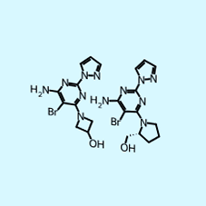 Nc1nc(-n2cccn2)nc(N2CC(O)C2)c1Br.Nc1nc(-n2cccn2)nc(N2CCC[C@@H]2CO)c1Br